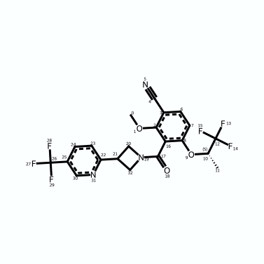 COc1c(C#N)ccc(O[C@@H](C)C(F)(F)F)c1C(=O)N1CC(c2ccc(C(F)(F)F)cn2)C1